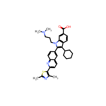 Cc1nc(C)c(-c2ccc3cc(-c4c(C5CCCCC5)c5ccc(C(=O)O)cc5n4CCCN(C)C)ccc3n2)s1